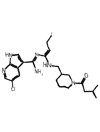 CC(C)CC(=O)N1CCCC(CNC(=C/CI)/N=C(\N)c2c[nH]c3ncc(Cl)cc23)C1